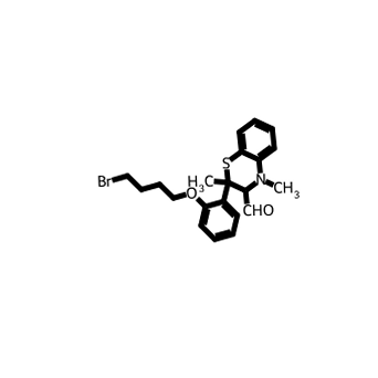 CN1c2ccccc2SC(C)(c2ccccc2OCCCCBr)C1C=O